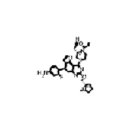 C=CC(=O)N1CCN(c2nc(OC[C@@H]3CCCN3C)nc3cc(-c4ccc(N)cc4F)c4ccoc4c23)C[C@@H]1CC#N